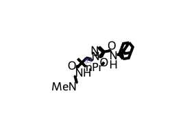 CCCOc1c(C(=O)NC2C3CC4CC(C3)CC2C4)cnn1/C=C/C(C)(C)C(=O)NCCNC